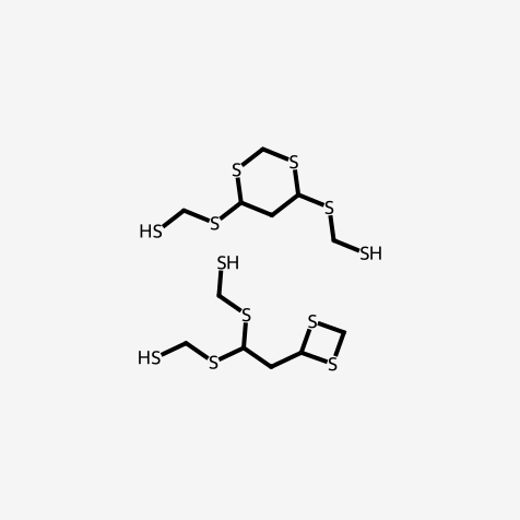 SCSC(CC1SCS1)SCS.SCSC1CC(SCS)SCS1